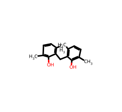 Cc1ccc(C)c(Cc2c(C)ccc(C)c2O)c1O